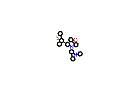 c1ccc(-n2c3ccccc3c3ccc(N(c4ccc(-c5cc6c7ccccc7sc6c6ccccc56)cc4)c4cccc5oc6ccccc6c45)cc32)cc1